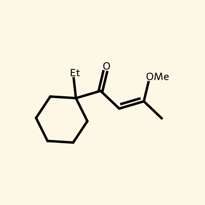 CCC1(C(=O)/C=C(/C)OC)CCCCC1